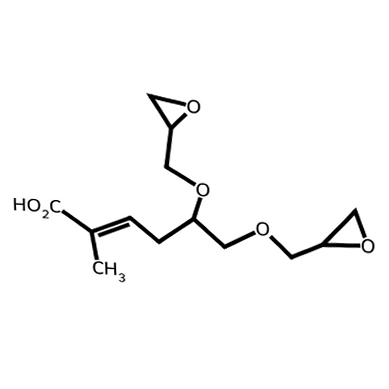 CC(=CCC(COCC1CO1)OCC1CO1)C(=O)O